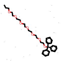 CCCOCCOCCOCCOCCOCCOCCOC(c1ccccc1)(c1ccccc1)c1ccccc1